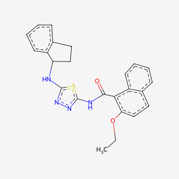 CCOc1ccc2ccccc2c1C(=O)Nc1nnc(NC2CCc3ccccc32)s1